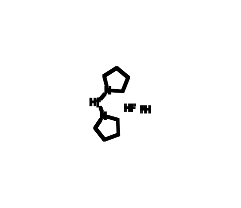 C1CC[N]([Hf][N]2CCCC2)C1.F.F